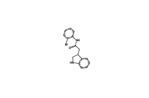 O=C(CC1CNc2ccccc21)Nc1ccccc1Br